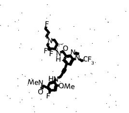 CNC(=O)c1cc(NCC#Cc2cc(C(=O)N[C@@H]3[C@@H](C)CN(CCCF)CC3(F)F)c3ncn(CC(F)(F)F)c3c2)c(OC)cc1F